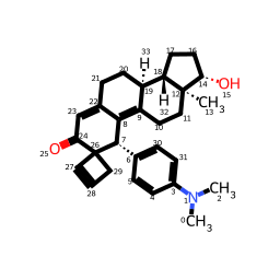 CN(C)c1ccc([C@H]2C3=C4CC[C@]5(C)[C@@H](O)CC[C@H]5[C@@H]4CCC3=CC(=O)C23C#CC3)cc1